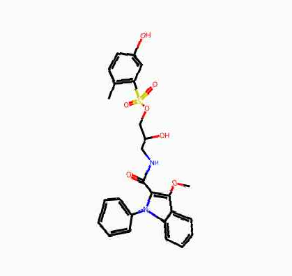 COc1c(C(=O)NCC(O)COS(=O)(=O)c2cc(O)ccc2C)n(-c2ccccc2)c2ccccc12